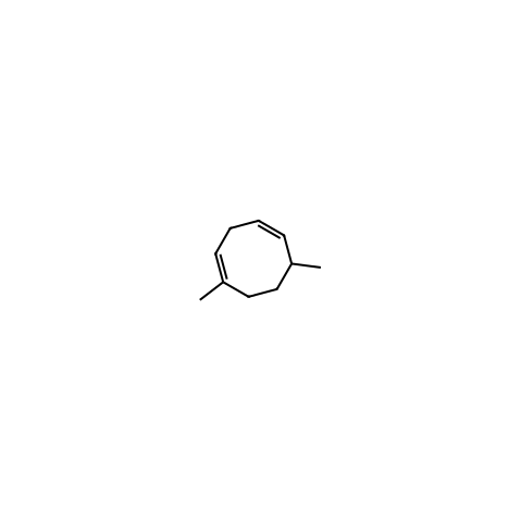 CC1=CCC=CC(C)CC1